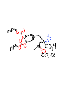 CCCOC(=O)Oc1ccc(CC(N)(C[C@H](C)OC(=O)OCC)C(=O)O)cc1OC(=O)OCCC